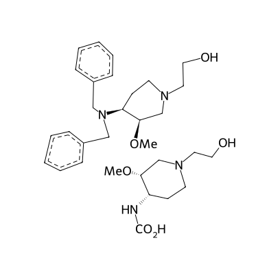 CO[C@@H]1CN(CCO)CC[C@@H]1N(Cc1ccccc1)Cc1ccccc1.CO[C@@H]1CN(CCO)CC[C@@H]1NC(=O)O